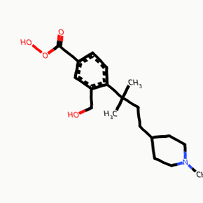 CN1CCC(CCC(C)(C)c2ccc(C(=O)OO)cc2CO)CC1